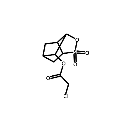 O=C(CCl)OC1C2CC3C1OS(=O)(=O)C3C2